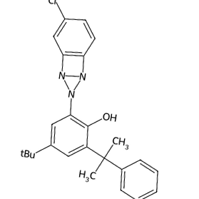 CC(C)(C)c1cc(-n2n3c4ccc(Cl)cc4n23)c(O)c(C(C)(C)c2ccccc2)c1